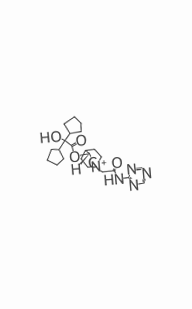 O=C(C[N+]12CCC(CC1)[C@@H](OC(=O)C(O)(C1CCCC1)C1CCCC1)C2)Nc1ncncn1